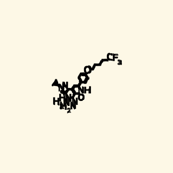 N/N=C(\NN)c1c(-c2ccn(C3CC3)n2)cc(-c2ccc(OCCCCCC(F)(F)F)cc2)[nH]c1=O